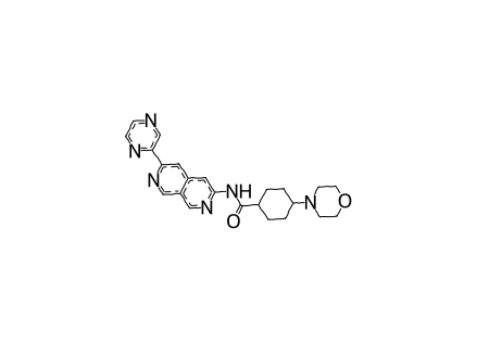 O=C(Nc1cc2cc(-c3cnccn3)ncc2cn1)C1CCC(N2CCOCC2)CC1